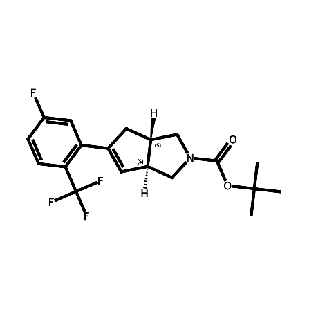 CC(C)(C)OC(=O)N1C[C@H]2CC(c3cc(F)ccc3C(F)(F)F)=C[C@@H]2C1